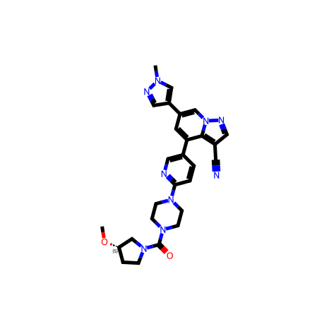 CO[C@H]1CCN(C(=O)N2CCN(c3ccc(-c4cc(-c5cnn(C)c5)cn5ncc(C#N)c45)cn3)CC2)C1